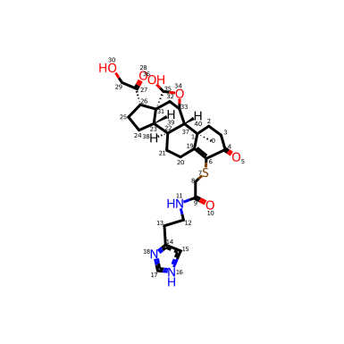 C[C@]12CCC(=O)C(SCC(=O)NCCc3c[nH]cn3)=C1CC[C@H]1[C@@H]3CC[C@H](C(=O)CO)[C@@]34CC(OC4O)[C@@H]12